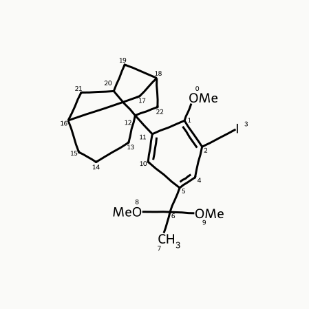 COc1c(I)cc(C(C)(OC)OC)cc1C12CCCC3CC(CC1C3)C2